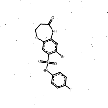 O=C1CCOc2cc(S(=O)(=O)Nc3ccc(F)cc3)c(Br)cc2N1